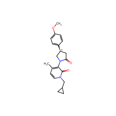 COc1ccc([C@H]2CC(=O)N(c3c(C)ccn(CC4CC4)c3=O)C2)cc1